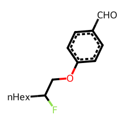 CCCCCCC(F)COc1ccc(C=O)cc1